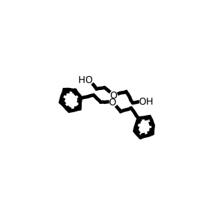 OCCOCCO.c1ccc(CCOCCc2ccccc2)cc1